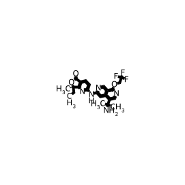 CC[C@@]1(C)OC(=O)c2ccc(Nc3cc4c(C(C)(C)N)cnc(OCC(F)(F)F)c4cn3)nc21